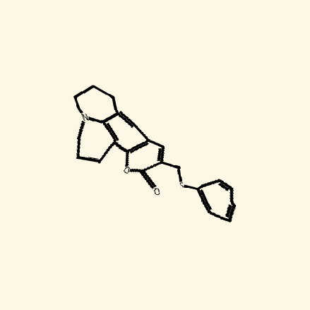 O=c1oc2c3c4c(cc2cc1CSc1ccccc1)CCCN4CCC3